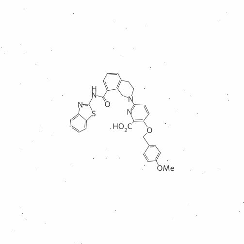 COc1ccc(COc2ccc(N3CCc4cccc(C(=O)Nc5nc6ccccc6s5)c4C3)nc2C(=O)O)cc1